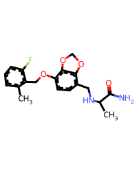 Cc1cccc(F)c1COc1ccc(CNC(C)C(N)=O)c2c1OCO2